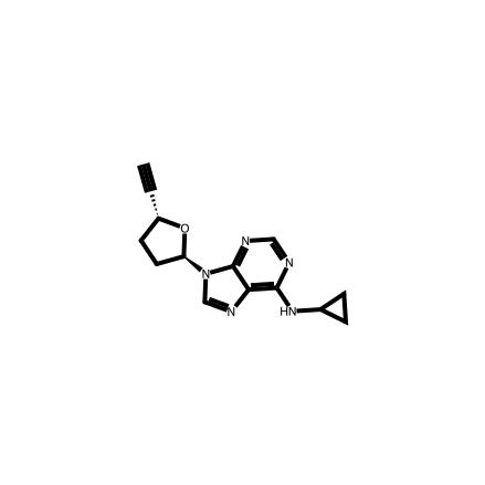 C#C[C@H]1CC[C@H](n2cnc3c(NC4CC4)ncnc32)O1